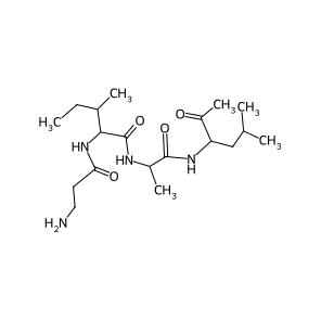 CCC(C)C(NC(=O)CCN)C(=O)NC(C)C(=O)NC(CC(C)C)C(C)=O